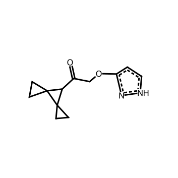 O=C(COc1cc[nH]n1)C1C2(CC2)C12CC2